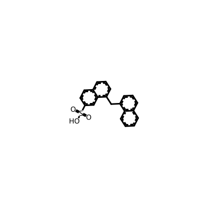 O=S(=O)(O)c1ccc2cccc(Cc3cccc4ccccc34)c2c1